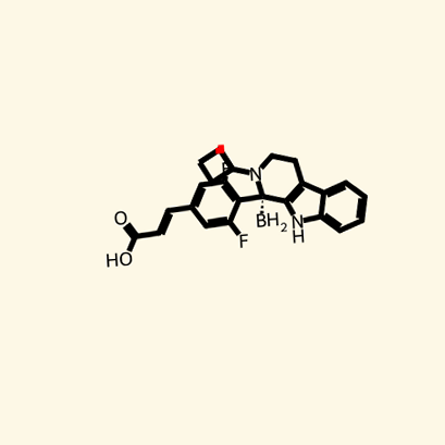 B[C@@]1(c2c(F)cc(/C=C/C(=O)O)cc2F)c2[nH]c3ccccc3c2CCN1C12CC(C1)C2